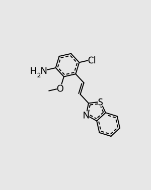 COc1c(N)ccc(Cl)c1/C=C/c1nc2ccccc2s1